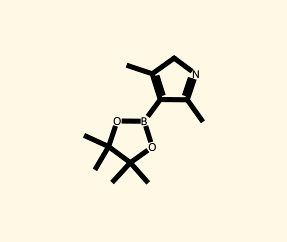 CC1=NCC(C)=C1B1OC(C)(C)C(C)(C)O1